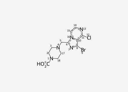 O=C(O)N1CCN(Cc2nc(Br)c3c(Cl)nccn23)CC1